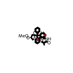 COO[C@H]1CN(C(=O)Cn2cc(C)c(=O)[nH]c2=O)[C@@](C(=O)O)(C(c2ccccc2)(c2ccccc2)c2ccccc2)C1